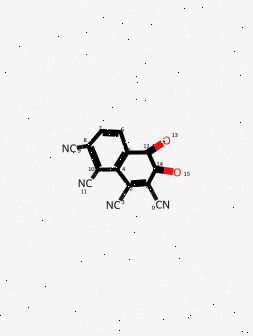 N#CC1=C(C#N)c2c(ccc(C#N)c2C#N)C(=O)C1=O